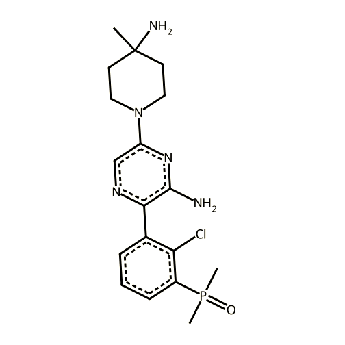 CC1(N)CCN(c2cnc(-c3cccc(P(C)(C)=O)c3Cl)c(N)n2)CC1